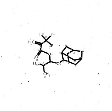 C=C(C(=O)OC(OC1C2CC3CC(C2)CC1C3)C(C)C)C(F)(F)F